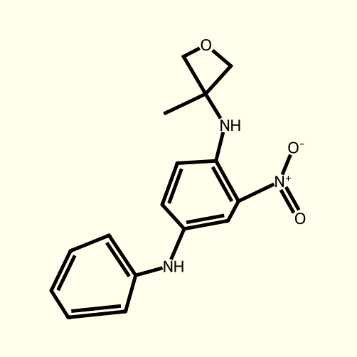 CC1(Nc2ccc(Nc3ccccc3)cc2[N+](=O)[O-])COC1